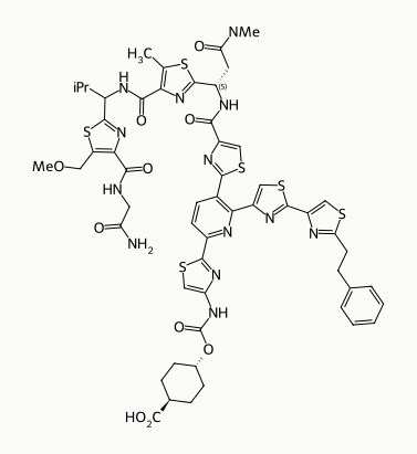 CNC(=O)C[C@H](NC(=O)c1csc(-c2ccc(-c3nc(NC(=O)O[C@H]4CC[C@H](C(=O)O)CC4)cs3)nc2-c2csc(-c3csc(CCc4ccccc4)n3)n2)n1)c1nc(C(=O)NC(c2nc(C(=O)NCC(N)=O)c(COC)s2)C(C)C)c(C)s1